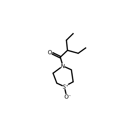 CCC(CC)C(=O)N1CC[S+]([O-])CC1